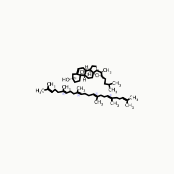 CC(C)=CCC/C(C)=C/CC/C(C)=C/CC/C=C(\C)CC/C=C(\C)CCC=C(C)C.CC(C)CCC[C@@H](C)[C@H]1CC[C@H]2[C@@H]3CC=C4C[C@@H](O)CC[C@]4(C)[C@H]3CC[C@]12C